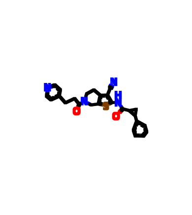 N#Cc1c(NC(=O)C2CC2c2ccccc2)sc2c1CCN(C(=O)CCc1ccncc1)C2